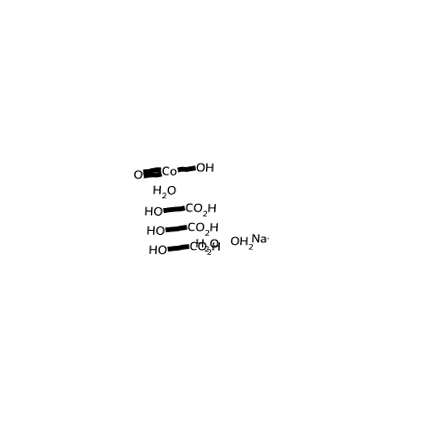 O.O.O.O=C(O)O.O=C(O)O.O=C(O)O.[Na].[O]=[Co][OH]